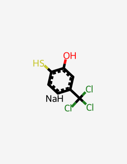 Oc1cc(C(Cl)(Cl)Cl)ccc1S.[NaH]